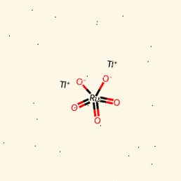 [O]=[Ru](=[O])(=[O])([O-])[O-].[Tl+].[Tl+]